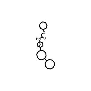 O=C(COC1CCCCCCC1)NC12CCC(C3CCCCCC(C4CCCCCCCCC4)CCC3)(CC1)CC2